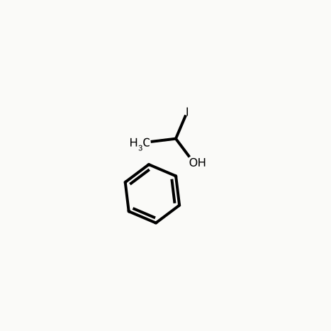 CC(O)I.c1ccccc1